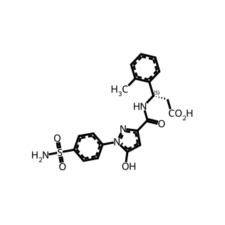 Cc1ccccc1[C@H](CC(=O)O)NC(=O)c1cc(O)n(-c2ccc(S(N)(=O)=O)cc2)n1